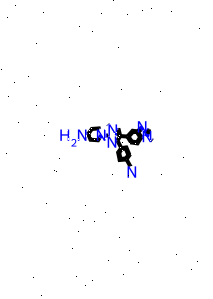 CN1C=C(c2ccc3c(c2)ncn3C)C(c2ccc(C#N)cc2)=NC1N1CCC(N)CC1